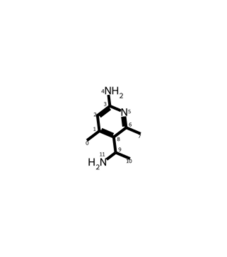 Cc1cc(N)nc(C)c1C(C)N